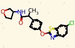 CC(C(=O)NC1CCOC1)c1ccc(Oc2nc3ccc(Cl)cc3s2)cc1